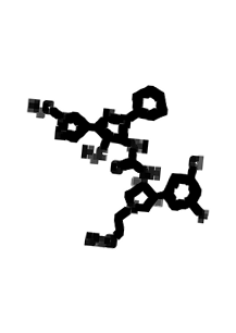 COCCN1C[C@H](NC(=O)Nc2c(C)c(-c3cnn(C)c3)nn2-c2ccccc2)[C@@H](c2cc(F)cc(Cl)c2)C1